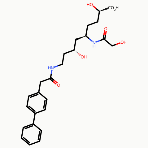 O=C(Cc1ccc(-c2ccccc2)cc1)NCC[C@@H](O)C[C@@H](CC[C@@H](O)C(=O)O)NC(=O)CO